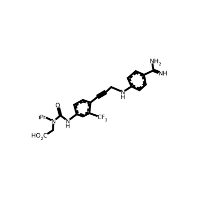 CC(C)N(CC(=O)O)C(=O)Nc1ccc(C#CCNc2ccc(C(=N)N)cc2)c(C(F)(F)F)c1